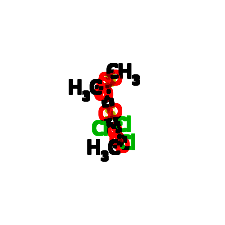 CCS(=O)(=O)CC(COc1ccc(S(=O)(=O)c2cc(Cl)c(OCC(CCl)OC(C)=O)c(Cl)c2)cc1)OC(C)=O